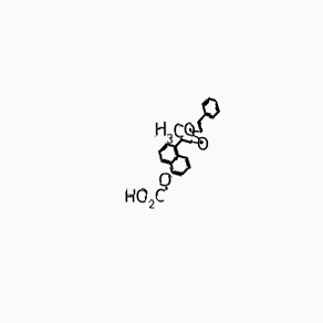 CC(CS(=O)(=O)C=Cc1ccccc1)c1cccc2c(OCC(=O)O)cccc12